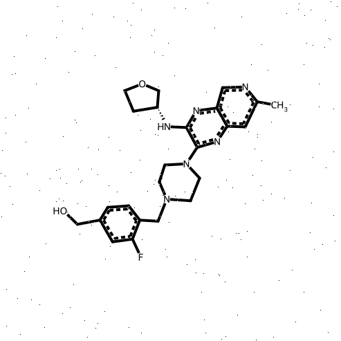 Cc1cc2nc(N3CCN(Cc4ccc(CO)cc4F)CC3)c(N[C@@H]3CCOC3)nc2cn1